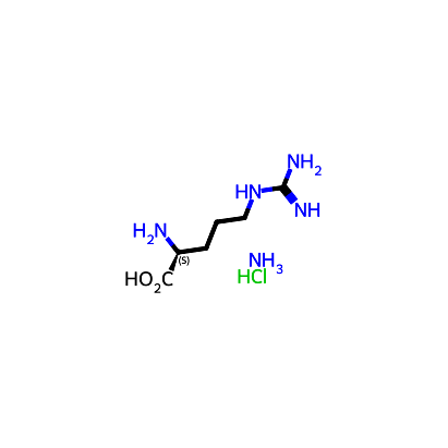 Cl.N.N=C(N)NCCC[C@H](N)C(=O)O